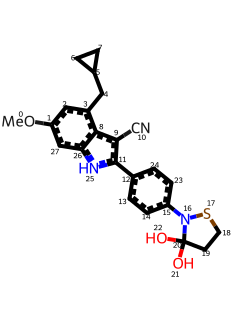 COc1cc(CC2CC2)c2c(C#N)c(-c3ccc(N4SCCC4(O)O)cc3)[nH]c2c1